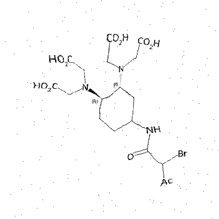 CC(=O)C(Br)C(=O)NC1CC[C@@H](N(CC(=O)O)CC(=O)O)[C@H](N(CC(=O)O)CC(=O)O)C1